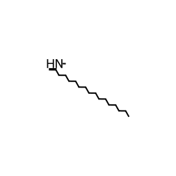 C=C(CCCCCCCCCCCCCCC)NC